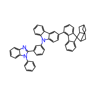 c1ccc(-n2c(-c3cccc(-n4c5ccccc5c5cc(-c6cccc7c6-c6ccccc6C76C7CC8CC(C7)C6C8)ccc54)c3)nc3ccccc32)cc1